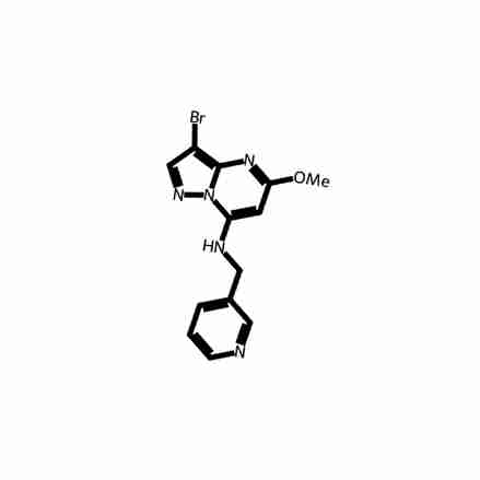 COc1cc(NCc2cccnc2)n2ncc(Br)c2n1